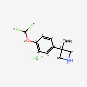 COC1(c2ccc(OC(F)F)cc2)CNC1.Cl